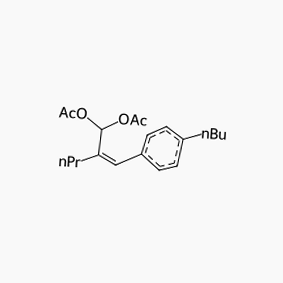 CCCCc1ccc(C=C(CCC)C(OC(C)=O)OC(C)=O)cc1